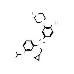 Cc1ccc(S(=O)(=O)N(CC2CC2)c2cccc(OC(F)F)c2)cc1N1CCNCC1